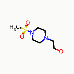 CS(=O)(=O)N1CCN(CC[O])CC1